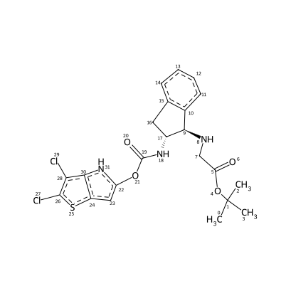 CC(C)(C)OC(=O)CN[C@@H]1c2ccccc2C[C@H]1NC(=O)Oc1cc2sc(Cl)c(Cl)c2[nH]1